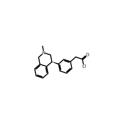 CN1Cc2ccccc2[C@H](c2cccc(CC(=O)Cl)c2)C1